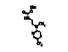 CN(CCNC(=O)OC(C)(C)C)c1ccc(C(F)(F)F)cn1